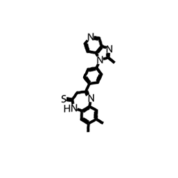 Cc1cc2c(cc1C)NC(=S)CC(c1ccc(-n3c(C)nc4cnccc43)cc1)=N2